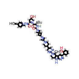 C#Cc1ccc(CNC(=O)[C@@H]2C[C@@H](O)CN2C(=O)[C@@H](NC(=O)N2CC3(CC(N4CC(N5CCC(c6cnc(N7CCc8[nH]c9nnc(-c%10ccccc%10O)cc9c8[C@H]7C)nc6)CC5)C4)C3)C2)C(C)(C)C)cc1